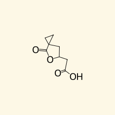 O=C(O)CC1CC2(CC2)C(=O)O1